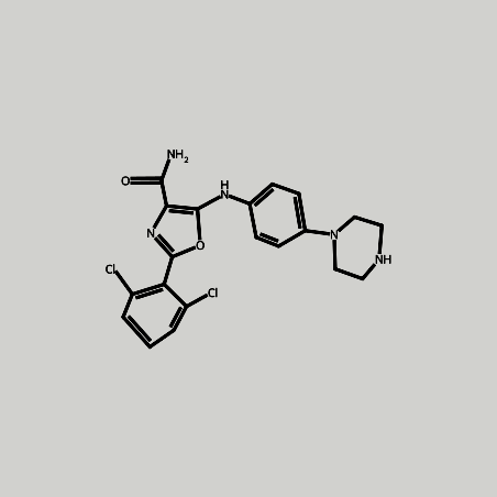 NC(=O)c1nc(-c2c(Cl)cccc2Cl)oc1Nc1ccc(N2CCNCC2)cc1